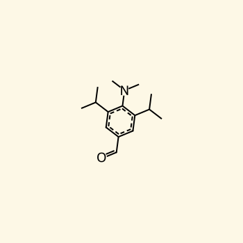 CC(C)c1cc(C=O)cc(C(C)C)c1N(C)C